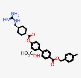 Cc1ccc(COC(=O)c2ccc(-c3ccc(OC(=O)[C@H]4CC[C@H](CNC(=N)N)CC4)cc3)cc2)cc1.O=C(O)O